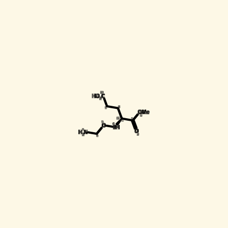 COC(=O)[C@@H](BOCN)CCC(=O)O